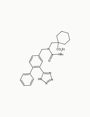 CCCCC(=O)N(Cc1ccc(-c2ccccc2)c(-c2nnn[nH]2)c1)CC1(C(=O)OCC)CCCCC1